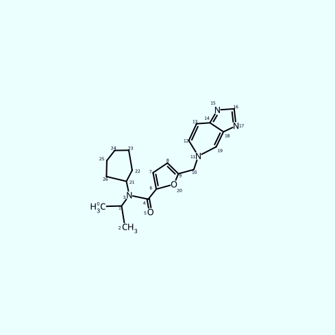 CC(C)N(C(=O)c1ccc(Cn2ccc3ncnc-3c2)o1)C1CCCCC1